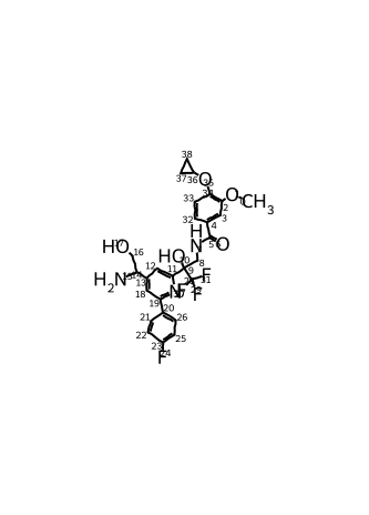 COc1cc(C(=O)NCC(O)(c2cc(C(N)CO)cc(-c3ccc(F)cc3)n2)C(F)(F)F)ccc1OC1CC1